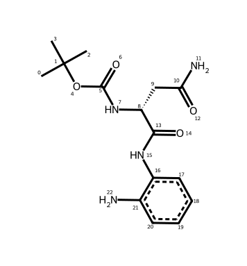 CC(C)(C)OC(=O)N[C@H](CC(N)=O)C(=O)Nc1ccccc1N